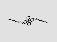 CCCCCCCCOc1ccc(C(c2ccccc2)(c2ccccc2)c2ccc(OCCCCCCCC)cc2)cc1